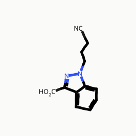 N#CCCCn1nc(C(=O)O)c2ccccc21